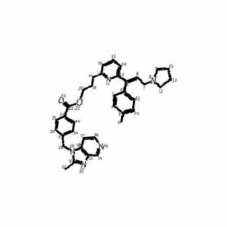 Cc1ccc(/C(=C\CN2CCCC2)c2cccc(CCCOC(=O)c3ccc(Cn4c(C)nc5cnccc54)cc3)n2)cc1